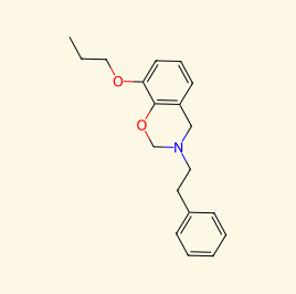 CCCOc1cccc2c1OCN(CCc1ccccc1)C2